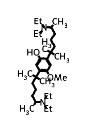 CCN(CC)C(C)CCCC(C)(C)c1cc(OC)c(C(C)(C)CCCC(C)N(CC)CC)cc1O